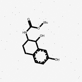 CC(C)(C)OC(=O)NC1CCc2ccc(O)cc2C1O